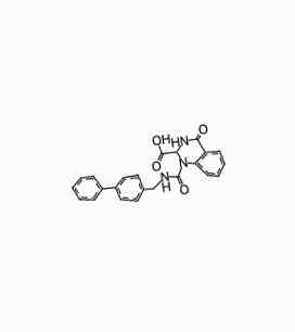 O=C1NC(C(=O)O)N(C(=O)NCc2ccc(-c3ccccc3)cc2)c2ccccc21